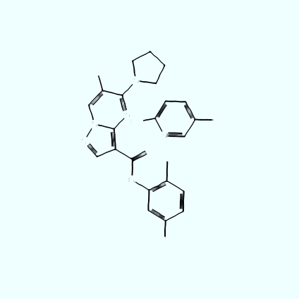 Cc1ccc(S(=O)(=O)O)cc1NC(=O)c1cnn2cc(F)c(N3CCC[C@@H]3c3cc(F)cnc3O)nc12